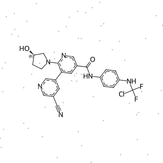 N#Cc1cncc(-c2cc(C(=O)Nc3ccc(NC(F)(F)Cl)cc3)cnc2N2CC[C@@H](O)C2)c1